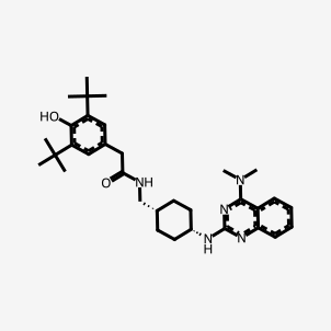 CN(C)c1nc(N[C@H]2CC[C@@H](CNC(=O)Cc3cc(C(C)(C)C)c(O)c(C(C)(C)C)c3)CC2)nc2ccccc12